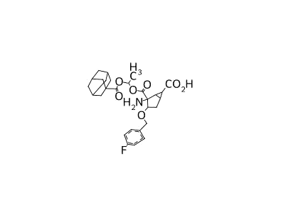 CC(OC(=O)C12CC3CC(CC(C3)C1)C2)OC(=O)C1(N)C(OCc2ccc(F)cc2)CC2C(C(=O)O)C21